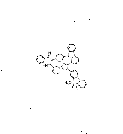 CC1(C)c2ccccc2-c2ccc(C3C=CC=C3c3cccc4c5ccccc5n(-c5ccc(N(C(=N)c6ccccc6)C(=N)c6ccccc6)cc5)c34)cc21